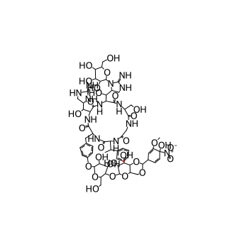 COC1=CC(C2OCC3OC(OC4C(CO)OC(Oc5ccc(CC6NC(=O)C(C(C)c7ccccc7)NC(=O)CNC(=O)C(CO)NC(=O)C(C(O)C7CNC(=N)N7C7OC(CO)C(O)C(O)C7O)NC(=O)C(C(O)C7CNC(=N)N7)NC6=O)cc5)C(O)C4O)C(O)C(O)C3O2)C=CC1(O)[N+](=O)[O-]